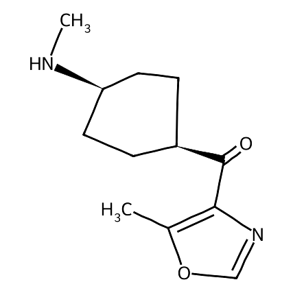 CN[C@H]1CC[C@@H](C(=O)c2ncoc2C)CC1